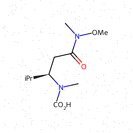 CON(C)C(=O)C[C@H](C(C)C)N(C)C(=O)O